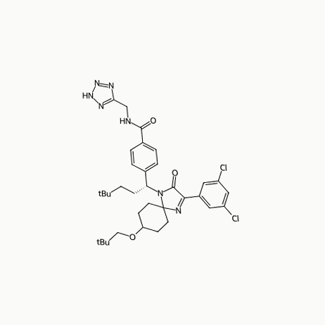 CC(C)(C)CC[C@H](c1ccc(C(=O)NCc2nn[nH]n2)cc1)N1C(=O)C(c2cc(Cl)cc(Cl)c2)=NC12CCC(OCC(C)(C)C)CC2